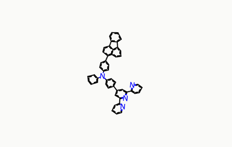 c1ccc(N(c2ccc(-c3cc(-c4ccccn4)nc(-c4ccccn4)c3)cc2)c2ccc(-c3ccc4c5c(cccc35)-c3ccccc3-4)cc2)cc1